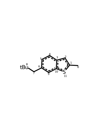 Cc1cc2ccc(CC(C)(C)C)cc2s1